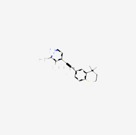 CCc1nccc(C#Cc2ccc3c(c2)C(C)(C)CCS3)c1C(=O)O